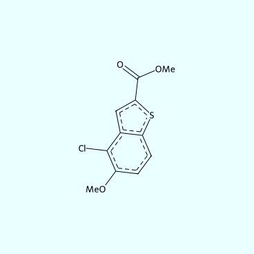 COC(=O)c1cc2c(Cl)c(OC)ccc2s1